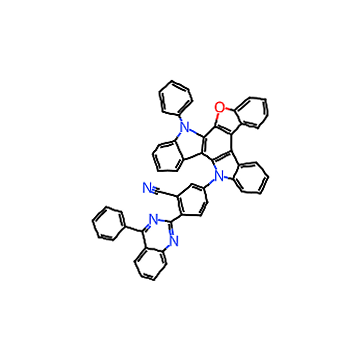 N#Cc1cc(-n2c3ccccc3c3c4c5ccccc5oc4c4c(c5ccccc5n4-c4ccccc4)c32)ccc1-c1nc(-c2ccccc2)c2ccccc2n1